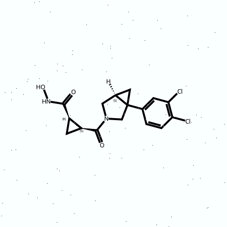 O=C(NO)[C@@H]1C[C@@H]1C(=O)N1C[C@H]2CC2(c2ccc(Cl)c(Cl)c2)C1